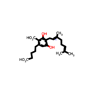 CC(C)=CCC/C(C)=C/Cc1c(O)cc(CCCCC(=O)O)c(C(=O)O)c1O